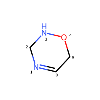 C1=NCNOC1